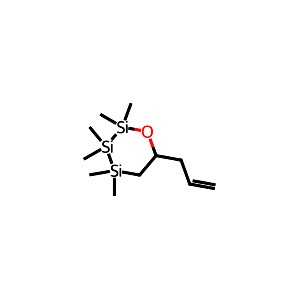 C=CCC1C[Si](C)(C)[Si](C)(C)[Si](C)(C)O1